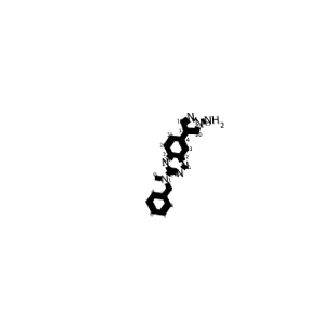 CN(Cc1ccccc1)c1nnc2cc(-c3cnn(N)c3)ccc2n1